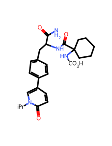 CC(C)n1cc(-c2ccc(CC(NC(=O)C3(NC(=O)O)CCCCC3)C(N)=O)cc2)ccc1=O